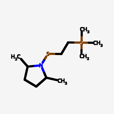 CC1CCC(C)N1SCCS(C)(C)C